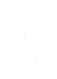 CCCCCCCC(Cl)CCC